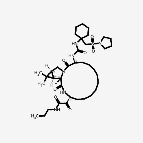 CCCNC(=O)C(=O)[C@@H]1CCCCCCCCC[C@H](NC(=O)NC2(CS(=O)(=O)N3CCCC3)CCCCC2)C(=O)N2C[C@H]3[C@@H]([C@H]2C(=O)N1)C3(C)C